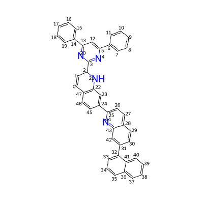 C1=CC(c2nc(-c3ccccc3)cc(-c3ccccc3)n2)Nc2cc(-c3ccc4ccc(-c5cccc6ccccc56)cc4n3)ccc21